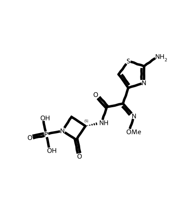 CON=C(C(=O)N[C@H]1CN(P(=O)(O)O)C1=O)c1csc(N)n1